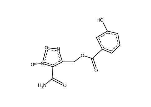 NC(=O)c1c(COC(=O)c2cccc(O)c2)no[n+]1[O-]